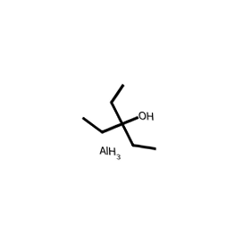 CCC(O)(CC)CC.[AlH3]